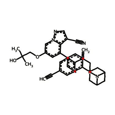 C#Cc1ccc(C(=C)CCN2C3CC2CN(c2ccc(-c4cc(OCC(C)(C)O)cn5ncc(C#N)c45)cn2)C3)nc1